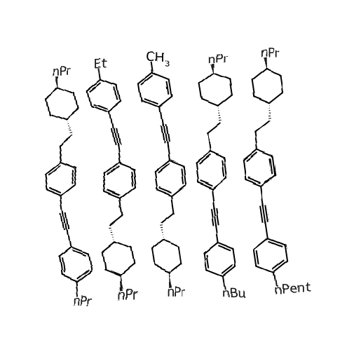 CCCCCc1ccc(C#Cc2ccc(CC[C@H]3CC[C@H](CCC)CC3)cc2)cc1.CCCCc1ccc(C#Cc2ccc(CC[C@H]3CC[C@H](CCC)CC3)cc2)cc1.CCC[C@H]1CC[C@H](CCc2ccc(C#Cc3ccc(C)cc3)cc2)CC1.CCC[C@H]1CC[C@H](CCc2ccc(C#Cc3ccc(CC)cc3)cc2)CC1.CCCc1ccc(C#Cc2ccc(CC[C@H]3CC[C@H](CCC)CC3)cc2)cc1